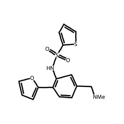 CNCc1ccc(-c2ccco2)c(NS(=O)(=O)c2cccs2)c1